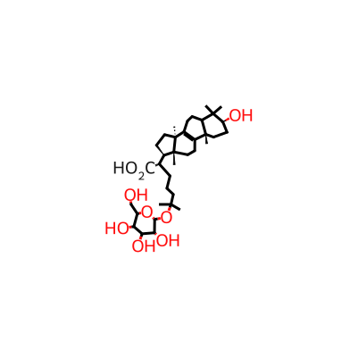 CC(C)(CCC[C@@H](C(=O)O)[C@H]1CC[C@@]2(C)C3=C(CC[C@]12C)[C@@]1(C)CC[C@H](O)C(C)(C)C1CC3)OC1OC(CO)C(O)C(O)C1O